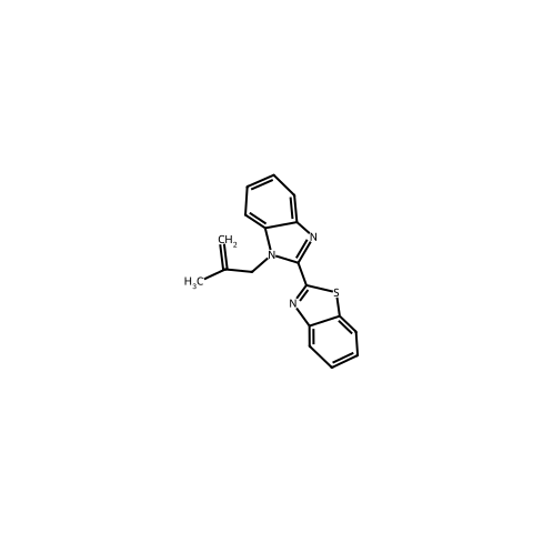 C=C(C)Cn1c(-c2nc3ccccc3s2)nc2ccccc21